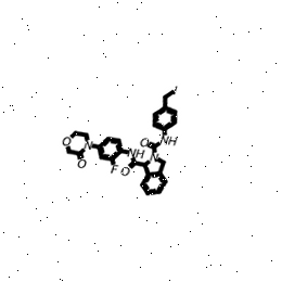 O=C(Nc1ccc(N2CCOCC2=O)cc1F)C1c2ccccc2CN1C(=O)Nc1ccc(CI)cc1